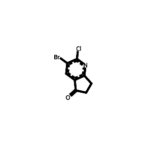 O=C1CCc2nc(Cl)c(Br)cc21